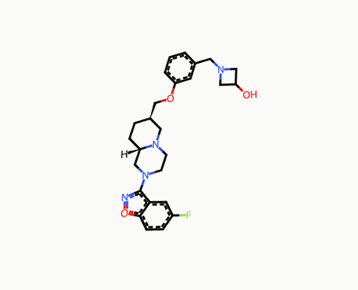 OC1CN(Cc2cccc(OC[C@@H]3CC[C@H]4CN(c5noc6ccc(F)cc56)CCN4C3)c2)C1